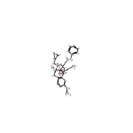 COc1ccc2c(c1)[C@]13CCN(CC4CC4)[C@H](C2)[C@]1(O)CC(OCc1ccccc1)C(O)C3